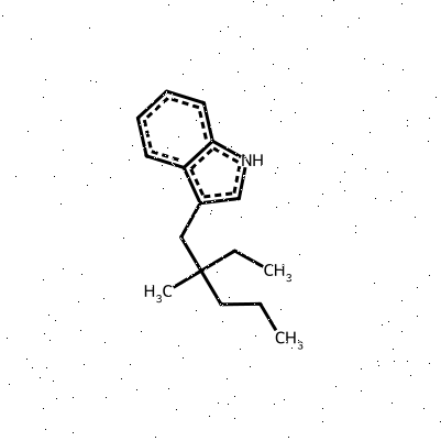 CCCC(C)(CC)Cc1c[nH]c2ccccc12